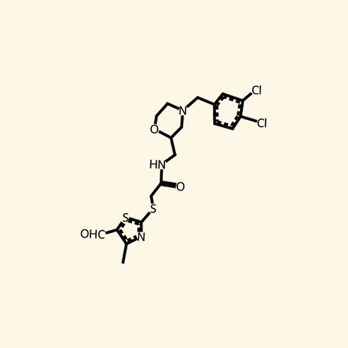 Cc1nc(SCC(=O)NCC2CN(Cc3ccc(Cl)c(Cl)c3)CCO2)sc1C=O